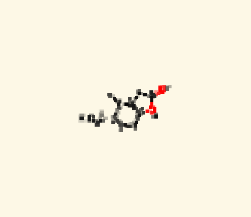 CCOC(=O)c1ccc2c(c1C)CC(=O)O2